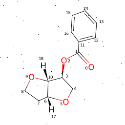 O=C(O[C@H]1CO[C@@H]2CCO[C@H]12)c1ccccc1